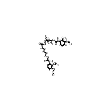 Cc1c(N=C=O)cccc1NC(=O)OCCCCCC(=O)OOC(C)(C)CCOC(=O)Nc1cccc(N=C=O)c1C